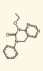 CCON1C(=O)N(c2ccccc2)Cc2cncnc21